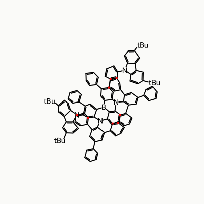 CC(C)(C)c1ccc2c(c1)c1cc(C(C)(C)C)ccc1n2-c1cccc(-c2cc3c(cc2-c2ccccc2)B2c4cc(-c5ccccc5)c(-n5c6ccc(C(C)(C)C)cc6c6cc(C(C)(C)C)ccc65)cc4N(c4c(-c5ccccc5)cc(-c5ccccc5)cc4-c4ccccc4)c4cccc(c42)N3c2c(-c3ccccc3)cc(-c3ccccc3)cc2-c2ccccc2)c1